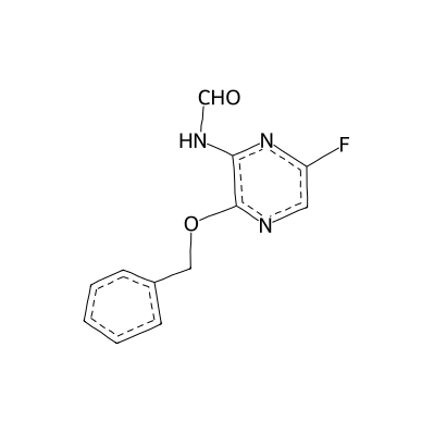 O=CNc1nc(F)cnc1OCc1ccccc1